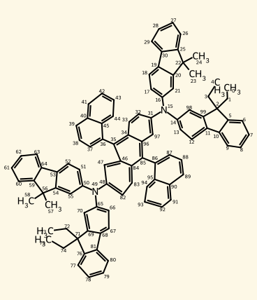 CCC1(CC)c2ccccc2-c2ccc(N(c3ccc4c(c3)C(C)(C)c3ccccc3-4)c3ccc4c(-c5cccc6ccccc56)c5cc(N(c6ccc7c(c6)C(C)(C)c6ccccc6-7)c6ccc7c(c6)C(CC)(CC)c6ccccc6-7)ccc5c(-c5cccc6ccccc56)c4c3)cc21